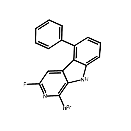 CCCc1nc(F)cc2c1[nH]c1cccc(-c3ccccc3)c12